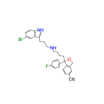 N#Cc1ccc2c(c1)COC2(CCCCNCCCc1c[nH]c2ccc(Br)cc12)c1ccc(F)cc1